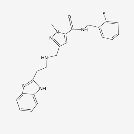 Cn1nc(CNCCc2nc3ccccc3[nH]2)cc1C(=O)NCc1ccccc1F